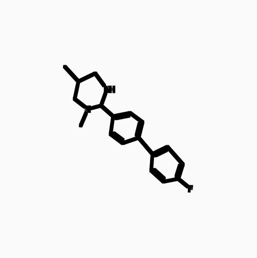 CC1CNC(c2ccc(-c3ccc(F)cc3)cc2)N(C)C1